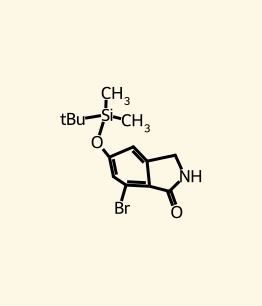 CC(C)(C)[Si](C)(C)Oc1cc(Br)c2c(c1)CNC2=O